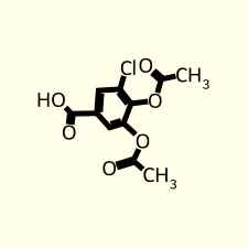 CC(=O)Oc1cc(C(=O)O)cc(Cl)c1OC(C)=O